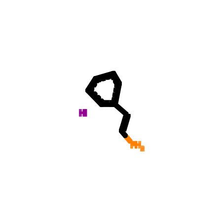 I.PC=Cc1ccccc1